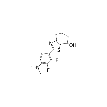 CN(C)c1ccc(-c2nc3c(s2)C(O)CCC3)c(F)c1F